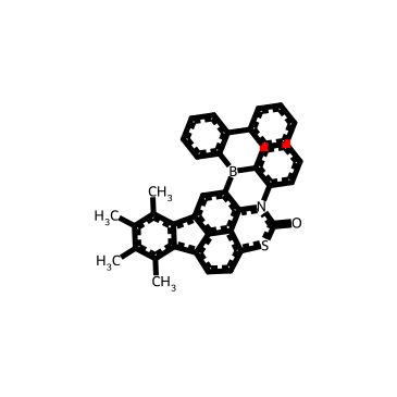 Cc1c(C)c(C)c2c3cc4c5c6c(ccc(c2c1C)c36)sc(=O)n5-c1ccccc1B4c1ccccc1-c1ccccc1